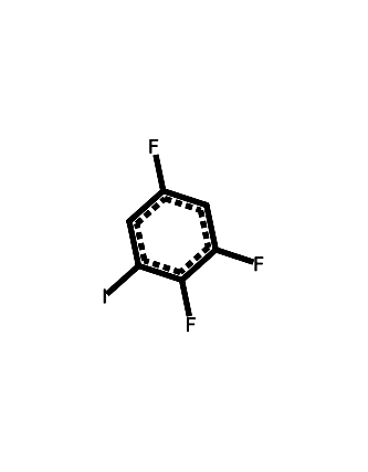 Fc1cc(F)c(F)c(I)c1